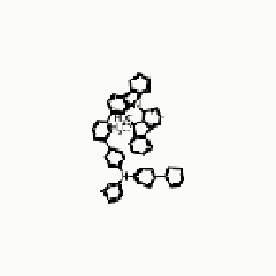 CC1(C)c2ccccc2-c2cccc(-n3c4ccccc4c4ccc(-c5cccc(-c6ccc(N(c7ccccc7)c7ccc(-c8ccccc8)cc7)cc6)c5)cc43)c21